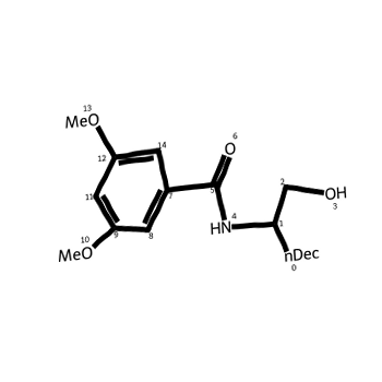 CCCCCCCCCCC(CO)NC(=O)c1cc(OC)cc(OC)c1